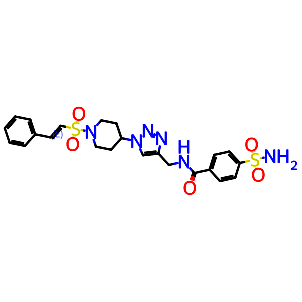 NS(=O)(=O)c1ccc(C(=O)NCc2cn(C3CCN(S(=O)(=O)/C=C/c4ccccc4)CC3)nn2)cc1